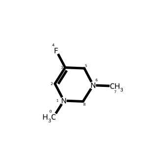 CN1C=C(F)CN(C)C1